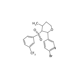 CC1CCOC(c2ccc(Br)nc2)C1S(=O)(=O)c1cccc(C(F)(F)F)c1